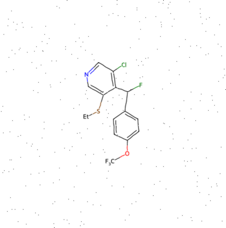 CCSc1cncc(Cl)c1C(F)c1ccc(OC(F)(F)F)cc1